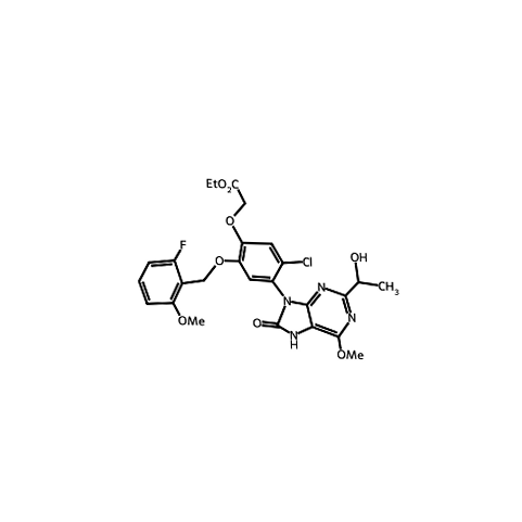 CCOC(=O)COc1cc(Cl)c(-n2c(=O)[nH]c3c(OC)nc(C(C)O)nc32)cc1OCc1c(F)cccc1OC